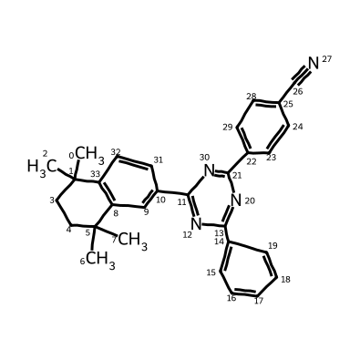 CC1(C)CCC(C)(C)c2cc(-c3nc(-c4ccccc4)nc(-c4ccc(C#N)cc4)n3)ccc21